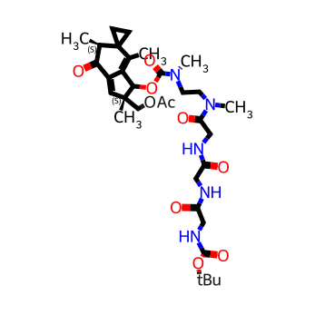 CC(=O)OC[C@]1(C)C=C2C(=O)[C@@H](C)C3(CC3)C(C)=C2C1OC(=O)N(C)CCN(C)C(=O)CNC(=O)CNC(=O)CNC(=O)OC(C)(C)C